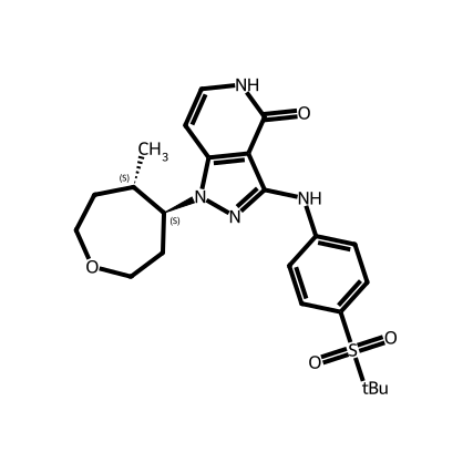 C[C@H]1CCOCC[C@@H]1n1nc(Nc2ccc(S(=O)(=O)C(C)(C)C)cc2)c2c(=O)[nH]ccc21